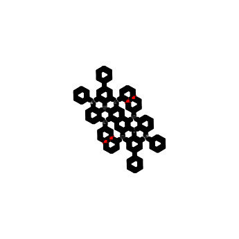 c1ccc(-c2cc3c4c(c2)N(c2ccccc2)c2cc5c6c7c(cc5c5c2B4c2c(cccc2N5c2ccccc2)N3c2ccccc2)N(c2ccccc2)c2cc(-c3ccccc3)cc3c2B7c2c(cccc2N6c2ccccc2)N3c2ccccc2)cc1